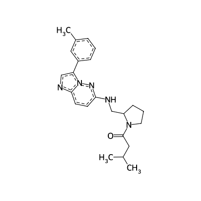 Cc1cccc(-c2cnc3ccc(NCC4CCCN4C(=O)CC(C)C)nn23)c1